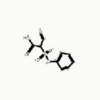 O=CC(C(=O)O)S(=O)(=O)Oc1ccccc1